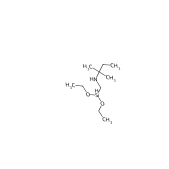 CCO[SiH](CNC(C)(C)CC)OCC